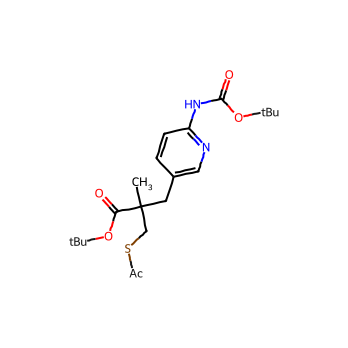 CC(=O)SCC(C)(Cc1ccc(NC(=O)OC(C)(C)C)nc1)C(=O)OC(C)(C)C